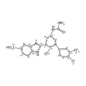 NC(=O)Nc1cc(-c2ccc(Cl)c(C(F)(F)F)c2)c(Cl)c(-c2nc3cc(C(=O)O)ccc3[nH]2)c1